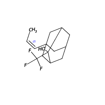 C/C=C\C12CC3CC(C1)C(O)(C(F)(F)F)C(C3)C2